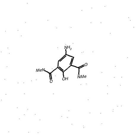 CNC(=O)c1cc(N)cc(C(=O)NC)c1O